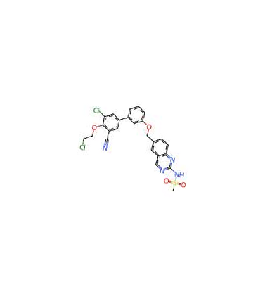 CS(=O)(=O)Nc1ncc2cc(COc3cccc(-c4cc(Cl)c(OCCCl)c(C#N)c4)c3)ccc2n1